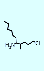 CCCCCCC(N)C(C)CCCCl